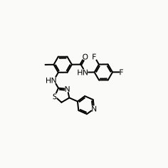 Cc1ccc(C(=O)Nc2ccc(F)cc2F)cc1NC1=NC(c2ccncc2)CS1